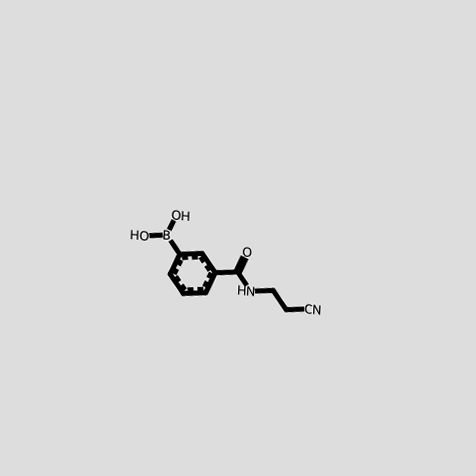 N#CCCNC(=O)c1cccc(B(O)O)c1